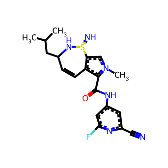 CC(C)CC1C=Cc2c(cn(C)c2C(=O)Nc2cc(F)nc(C#N)c2)S(=N)N1